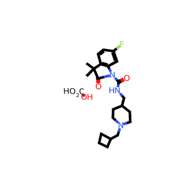 CC1(C)C(=O)N(C(=O)NCC2CCN(CC3CCC3)CC2)c2cc(F)ccc21.O=C(O)O